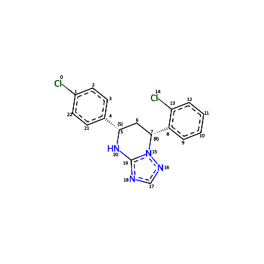 Clc1ccc([C@@H]2C[C@H](c3ccccc3Cl)n3ncnc3N2)cc1